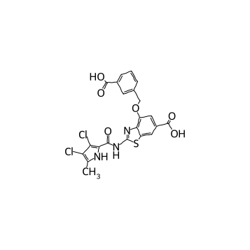 Cc1[nH]c(C(=O)Nc2nc3c(OCc4cccc(C(=O)O)c4)cc(C(=O)O)cc3s2)c(Cl)c1Cl